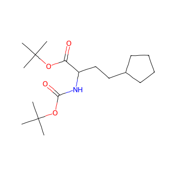 CC(C)(C)OC(=O)NC(CCC1CCCC1)C(=O)OC(C)(C)C